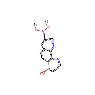 CCOP(OCC)c1cnc2c(ccc3c(O)ccnc32)c1